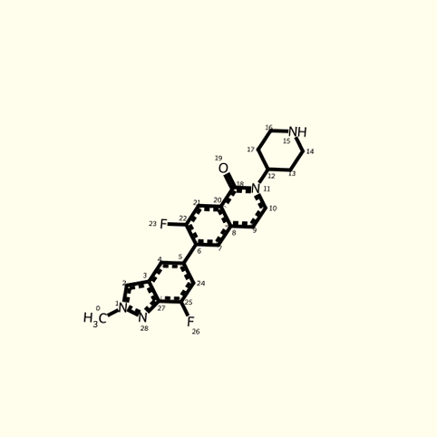 Cn1cc2cc(-c3cc4ccn(C5CCNCC5)c(=O)c4cc3F)cc(F)c2n1